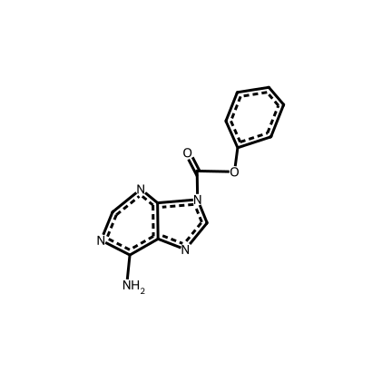 Nc1ncnc2c1ncn2C(=O)Oc1ccccc1